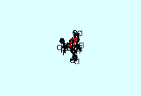 COc1cc(N2CCN(C(Cn3nc(C(F)(F)F)c(Cl)c3-c3ccccc3)C(=O)C(Cn3nc(C(F)(F)F)c(Cl)c3-c3ccccc3)N3CCN(c4ccc(Cl)c(OC)c4)CC3)CC2)ccc1Cl